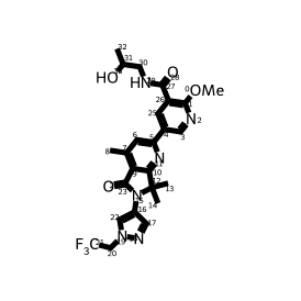 COc1ncc(-c2cc(C)c3c(n2)C(C)(C)N(c2cnn(CC(F)(F)F)c2)C3=O)cc1C(=O)NCC(C)O